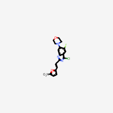 O=[N+]([O-])c1ccc(/C=C/c2nc(Cl)c3cc(F)c(N4CCOCC4)cc3n2)o1